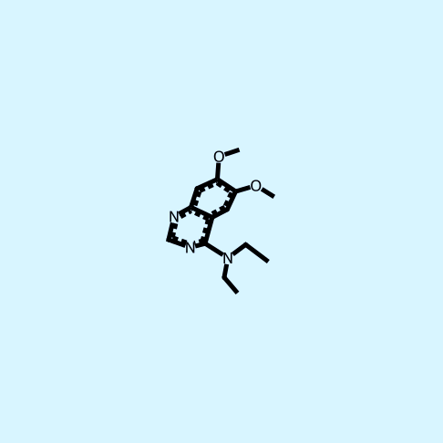 CCN(CC)c1ncnc2cc(OC)c(OC)cc12